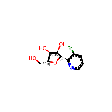 OC[C@H]1O[C@@H](c2ncccc2Br)[C@H](O)[C@@H]1O